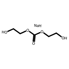 O=C(OCCO)OCCO.[NaH]